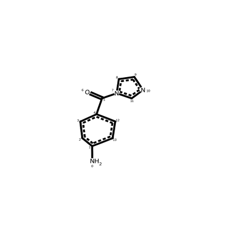 Nc1ccc(C(=O)n2ccnc2)cc1